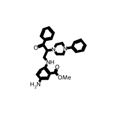 COC(=O)c1cc(N)ccc1NCC(C(=O)c1ccccc1)N1CCN(c2ccccc2)CC1